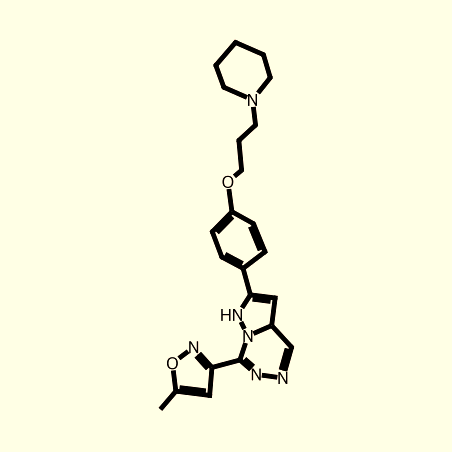 Cc1cc(C2=NN=CC3C=C(c4ccc(OCCCN5CCCCC5)cc4)NN23)no1